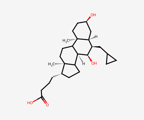 C[C@]12CCC3[C@H](C1CC[C@@H]2CCCC(=O)O)[C@H](O)[C@H](CC1CC1)[C@@H]1C[C@H](O)CC[C@]31C